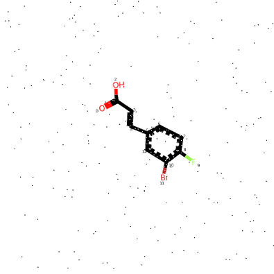 O=C(O)/C=C/c1ccc(F)c(Br)c1